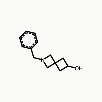 OC1CC2(C1)CN(Cc1ccccc1)C2